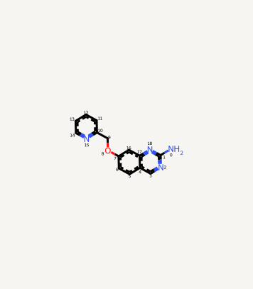 Nc1ncc2ccc(OCc3ccccn3)cc2n1